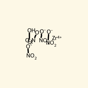 CCO.O=[N+]([O-])[O-].O=[N+]([O-])[O-].O=[N+]([O-])[O-].O=[N+]([O-])[O-].[Zr+4]